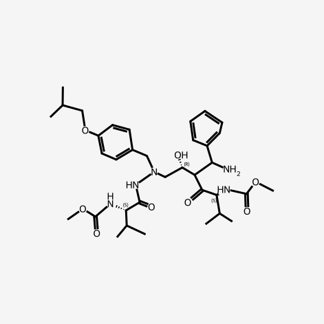 COC(=O)N[C@H](C(=O)NN(Cc1ccc(OCC(C)C)cc1)C[C@H](O)C(C(=O)[C@@H](NC(=O)OC)C(C)C)C(N)c1ccccc1)C(C)C